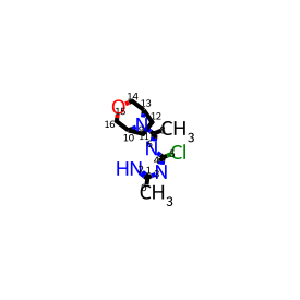 CC(=N)/N=C(Cl)\N=C(/C)N1C2CCC1COC2